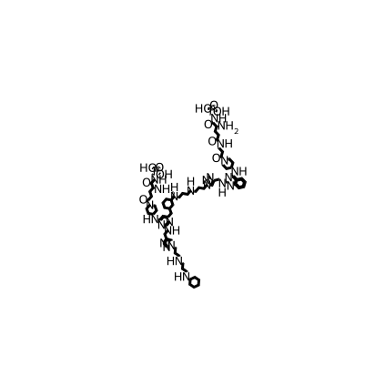 N[C@@H](CCC(=O)NCCC(=O)N1CCC(Nc2nc(NCc3cn(CCCNCCCNC4CCCC(Cc5cc(NC6CCN(C(=O)CC[C@H](N)C(=O)NCP(=O)(O)O)CC6)nc(NCc6cn(CCCNCCCNC7CCCCC7)nn6)n5)C4)nn3)nc3ccccc23)CC1)C(=O)NCP(=O)(O)O